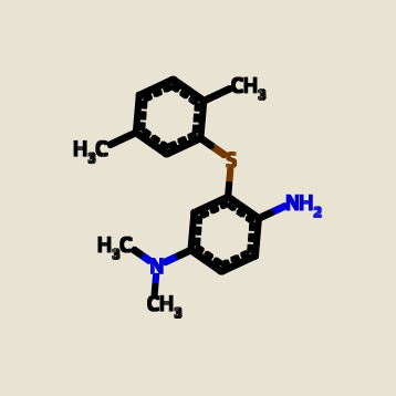 Cc1ccc(C)c(Sc2cc(N(C)C)ccc2N)c1